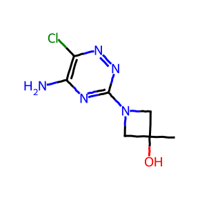 CC1(O)CN(c2nnc(Cl)c(N)n2)C1